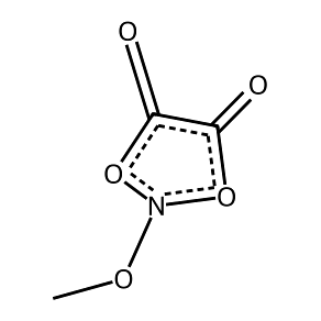 COn1oc(=O)c(=O)o1